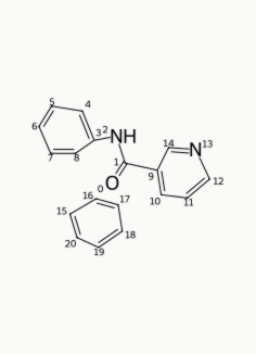 O=C(Nc1ccccc1)c1cccnc1.c1ccccc1